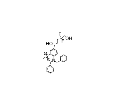 CS(=O)(=O)c1cc(C(O)CCC(F)(F)CO)ccc1N(Cc1ccccc1)Cc1ccccc1